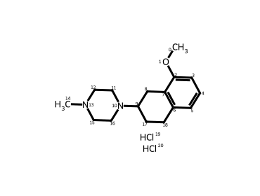 COc1cccc2c1CC(N1CCN(C)CC1)CC2.Cl.Cl